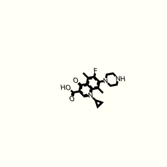 Cc1c(F)c(N2CCNCC2)c(C)c2c1c(=O)c(C(=O)O)cn2C1CC1